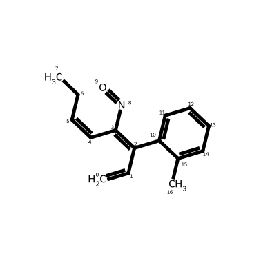 C=C/C(=C(\C=C/CC)N=O)c1ccccc1C